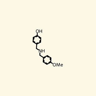 COc1ccc(CNCc2ccc(O)cc2)cc1